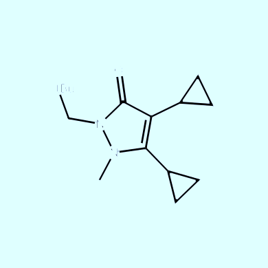 Cn1c(C2CC2)c(C2CC2)c(=O)n1CC(C)(C)C